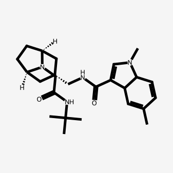 CC1=CC2C(C(=O)NC[C@@H]3C[C@H]4CC[C@@H](C3)N4CC(=O)NC(C)(C)C)=CN(C)C2C=C1